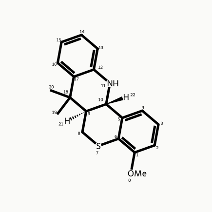 COc1cccc2c1SC[C@@H]1[C@@H]2Nc2ccccc2C1(C)C